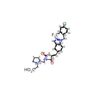 O=C(O)CN1CCC[C@H]1CN1C(=O)SC(=Cc2ccc3c(cnn3Cc3ccc(Cl)cc3C(F)(F)F)c2)C1=O